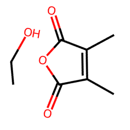 CC1=C(C)C(=O)OC1=O.CCO